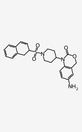 Nc1ccc2c(c1)COC(=O)N2C1CCN(S(=O)(=O)C2C=Cc3ccccc3C2)CC1